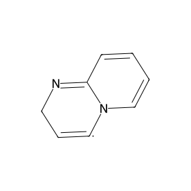 [C]1=CCN=C2C=CC=CN12